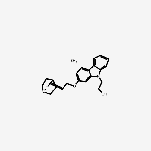 B.OCCn1c2ccccc2c2ccc(OCC=C3CN4CCC3CC4)cc21